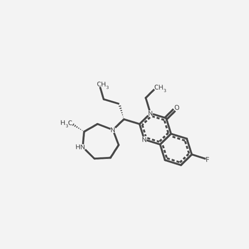 CCC[C@H](c1nc2ccc(F)cc2c(=O)n1CC)N1CCCN[C@H](C)C1